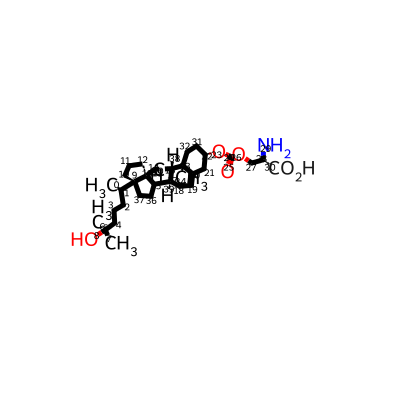 C[C@H](CCCC(C)(C)O)[C@]12CCC[C@@]13CC[C@H]1[C@@H](CC=C4C[C@@H](OC(=O)OC[C@H](N)C(=O)O)CC[C@@]41C)[C@@H]3CC2